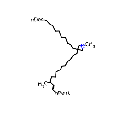 CCCCC/C=C/C(C)CCCCCCCCCCC1(CCCCCCCCCCCCCCCCCCCC)CN(C)C1